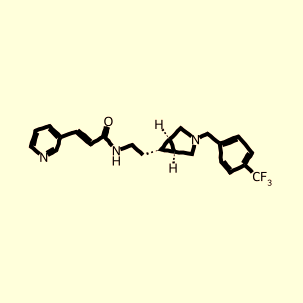 O=C(/C=C/c1cccnc1)NCC[C@@H]1[C@H]2CN(Cc3ccc(C(F)(F)F)cc3)C[C@@H]12